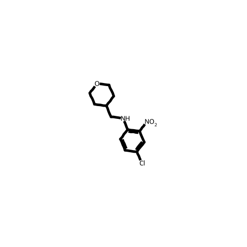 O=[N+]([O-])c1cc(Cl)ccc1NCC1CCOCC1